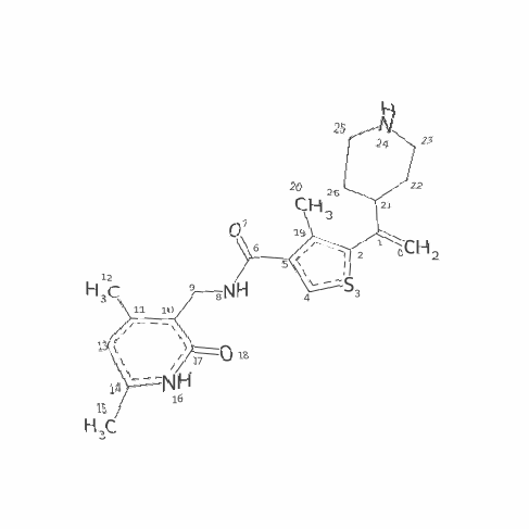 C=C(c1scc(C(=O)NCc2c(C)cc(C)[nH]c2=O)c1C)C1CCNCC1